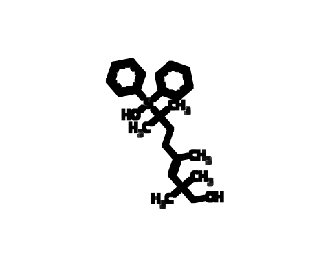 C/C(=C\C(C)(C)CO)CCC(C)(C)[Si](O)(c1ccccc1)c1ccccc1